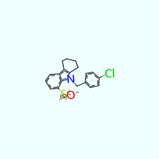 C[S@@+]([O-])c1cccc2c3c(n(Cc4ccc(Cl)cc4)c12)CCCC3